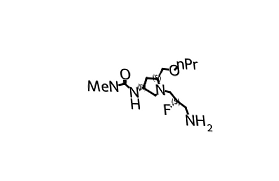 CCCOC[C@@H]1C[C@@H](NC(=O)NC)CN1C[C@@H](F)CN